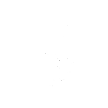 O=C1CCN(N2C(=O)c3ccc(CBr)cc3C2=O)C(=O)N1